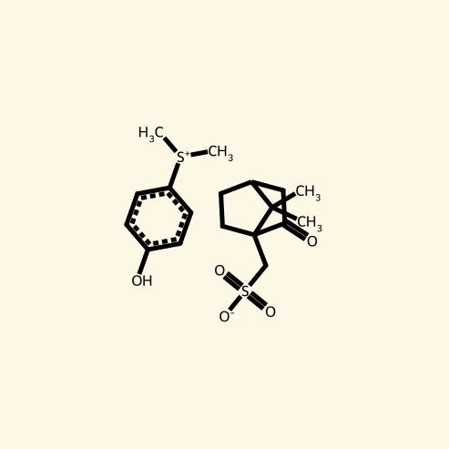 CC1(C)C2CCC1(CS(=O)(=O)[O-])C(=O)C2.C[S+](C)c1ccc(O)cc1